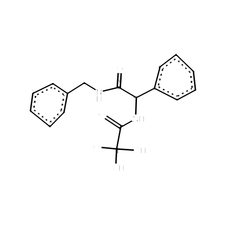 CCC(C)(C)C(=O)NC(C(=O)NCc1ccccc1)c1ccccc1